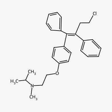 CC(C)N(C)CCOc1ccc(/C(=C(/CCCl)c2ccccc2)c2ccccc2)cc1